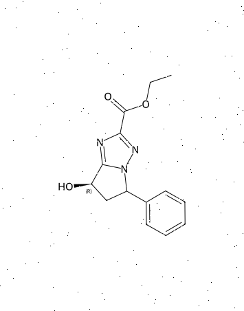 CCOC(=O)c1nc2n(n1)C(c1ccccc1)C[C@H]2O